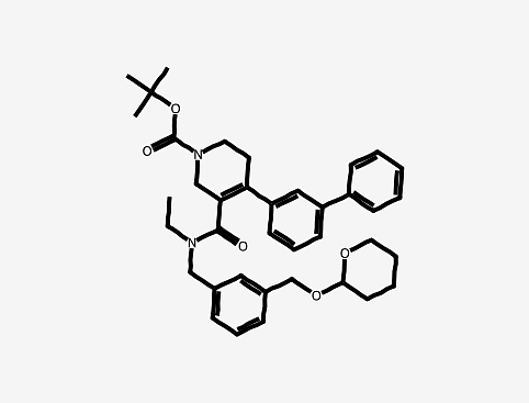 CCN(Cc1cccc(COC2CCCCO2)c1)C(=O)C1=C(c2cccc(-c3ccccc3)c2)CCN(C(=O)OC(C)(C)C)C1